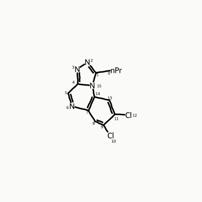 CCCc1nnc2cnc3cc(Cl)c(Cl)cc3n12